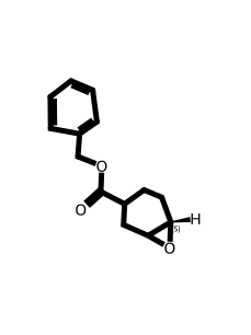 O=C(OCc1ccccc1)C1CC[C@@H]2OC2C1